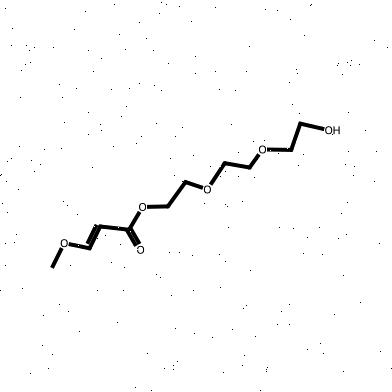 COC=CC(=O)OCCOCCOCCO